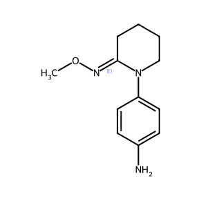 CO/N=C1\CCCCN1c1ccc(N)cc1